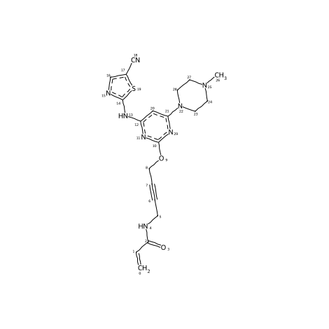 C=CC(=O)NCC#CCOc1nc(Nc2ncc(C#N)s2)cc(N2CCN(C)CC2)n1